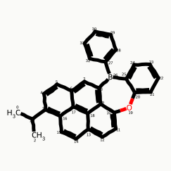 CC(C)c1ccc2cc3c4c(ccc5ccc1c2c54)Oc1ccccc1B3c1ccccc1